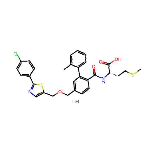 CSCC[C@H](NC(=O)c1ccc(COCc2cnc(-c3ccc(Cl)cc3)s2)cc1-c1ccccc1C)C(=O)O.[LiH]